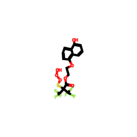 O=C(OCCOc1cccc2c(O)cccc12)C(SOOO)(C(F)(F)F)C(F)(F)F